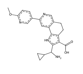 COc1ccc(-c2cc3c(cn2)CCc2c-3[nH]c(C(N)C3CC3)c2C(=O)O)cn1